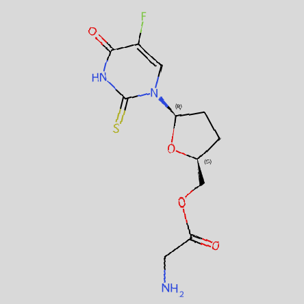 NCC(=O)OC[C@@H]1CC[C@H](n2cc(F)c(=O)[nH]c2=S)O1